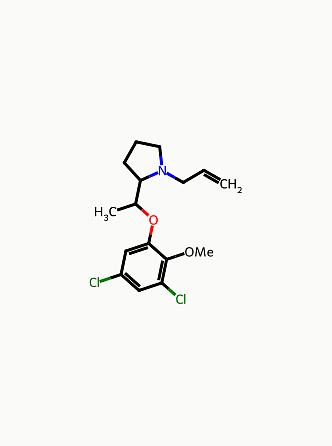 C=CCN1CCCC1C(C)Oc1cc(Cl)cc(Cl)c1OC